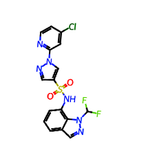 O=S(=O)(Nc1cccc2cnn(C(F)F)c12)c1cnn(-c2cc(Cl)ccn2)c1